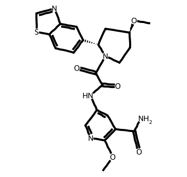 COc1ncc(NC(=O)C(=O)N2CC[C@H](OC)C[C@H]2c2ccc3scnc3c2)cc1C(N)=O